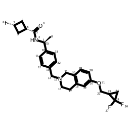 C[C@H](NC(=O)[C@H]1C[C@@H](F)C1)c1ccc(CN2CCc3cc(OCC4CC4(F)F)ccc3C2)cc1